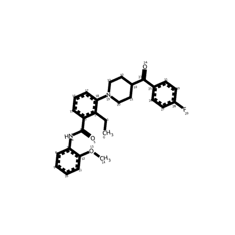 CCc1c(C(=O)Nc2ccccc2OC)cccc1N1CCC(C(=O)c2ccc(F)cc2)CC1